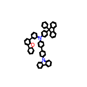 C1=CC2Oc3c(-c4cccc(N(c5ccc(-c6ccc(-n7c8ccccc8c8ccccc87)cc6)cc5)c5ccc(C6(c7ccccc7)c7ccccc7-c7ccccc76)cc5)c4)cccc3C2C=C1